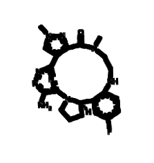 CN1CCNc2ccc(F)cc2[C@H]2CCCN2c2nc(nnc2N)-c2cn(C)nc2C1=O